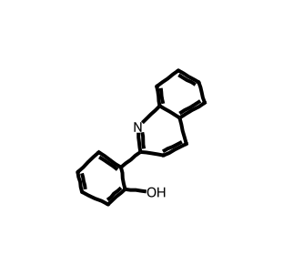 Oc1ccccc1-c1ccc2ccccc2n1